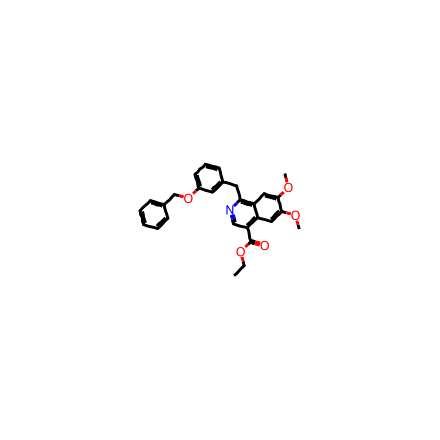 CCOC(=O)c1cnc(Cc2cccc(OCc3ccccc3)c2)c2cc(OC)c(OC)cc12